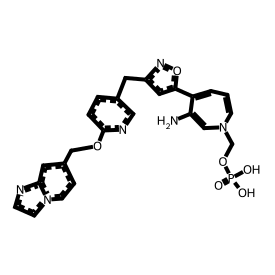 NC1=CN(COP(=O)(O)O)C=CC=C1c1cc(Cc2ccc(OCc3ccn4ccnc4c3)nc2)no1